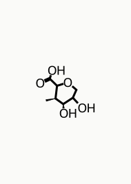 C[C@H]1C(C(=O)O)OCC(O)[C@H]1O